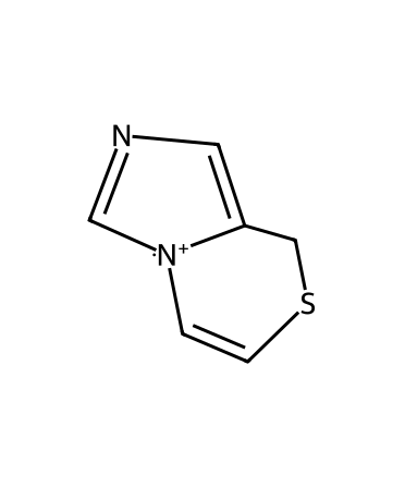 C1=C[N+]2C=NC=C2CS1